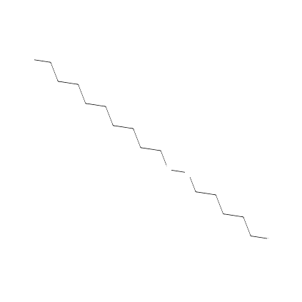 CCCCCCCCCC[P][P]CCCCCC